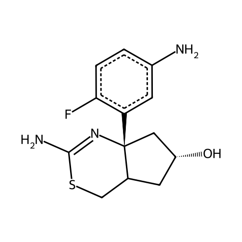 NC1=N[C@]2(c3cc(N)ccc3F)C[C@H](O)CC2CS1